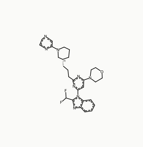 FC(F)c1nc2ccccc2n1-c1cc(N2CCOCC2)nc(CCC[C@H]2CCCN(c3cnccn3)C2)n1